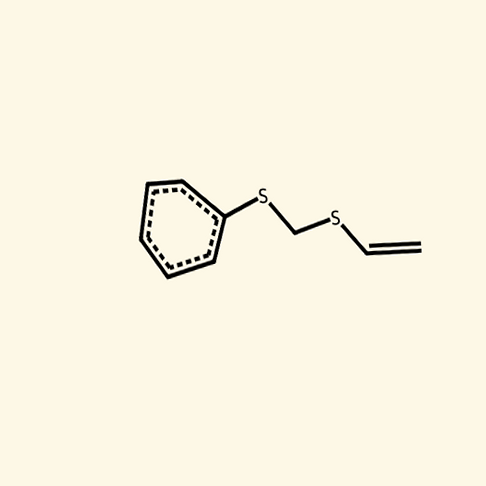 C=CSCSc1ccccc1